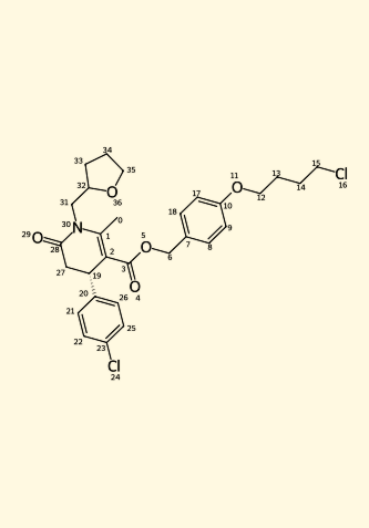 CC1=C(C(=O)OCc2ccc(OCCCCCl)cc2)[C@H](c2ccc(Cl)cc2)CC(=O)N1CC1CCCO1